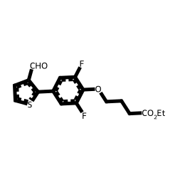 CCOC(=O)CCCOc1c(F)cc(-c2sccc2C=O)cc1F